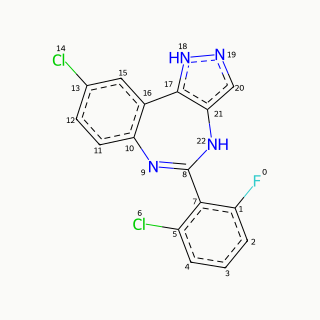 Fc1cccc(Cl)c1C1=Nc2ccc(Cl)cc2-c2[nH]ncc2N1